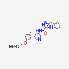 COCCOc1ccc(C)c(-c2cncc(NC(=O)c3nnc(Cc4ccccc4)[nH]3)c2)c1